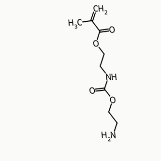 C=C(C)C(=O)OCCNC(=O)OCCN